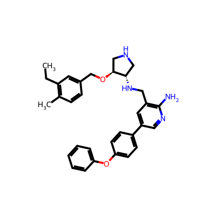 CCc1cc(CO[C@H]2CNC[C@@H]2NCc2cc(-c3ccc(Oc4ccccc4)cc3)cnc2N)ccc1C